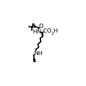 C#CCNCCCCC/C=C(\NC(=O)C1CC1(C)C)C(=O)O